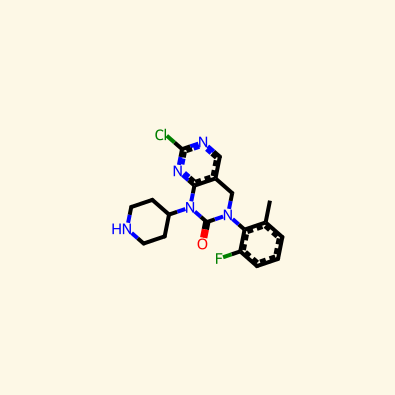 Cc1cccc(F)c1N1Cc2cnc(Cl)nc2N(C2CCNCC2)C1=O